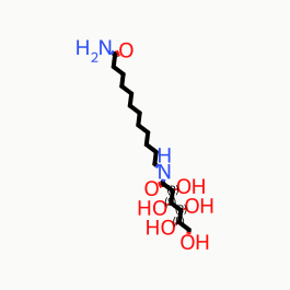 NC(=O)CCCCCCCCCCCNC(=O)[C@H](O)[C@@H](O)[C@H](O)[C@H](O)CO